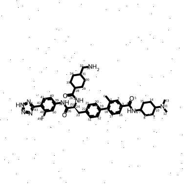 Cc1cc(C(=O)NC2CCC(N(C)C)CC2)ccc1-c1ccc(C[C@H](NC(=O)C2CCC(CN)CC2)C(=O)Nc2ccc(-c3nn[nH]n3)c(F)c2)cc1